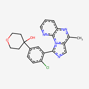 Cc1nc2cccnc2n2c(-c3cc(C4(O)CCOCC4)ccc3Cl)ncc12